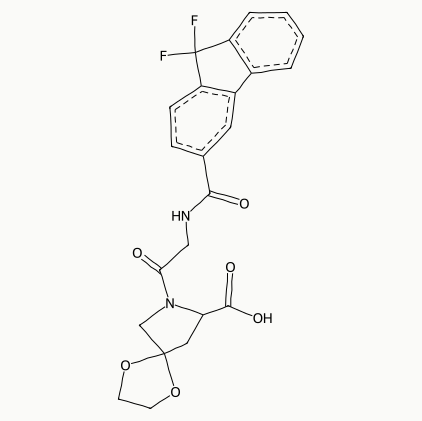 O=C(NCC(=O)N1CC2(CC1C(=O)O)OCCO2)c1ccc2c(c1)-c1ccccc1C2(F)F